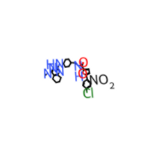 CN(C)c1nc(NC2CCC(CNC(=O)c3ccc(-c4ccc(Cl)cc4[N+](=O)[O-])o3)CC2)nc2c1CCCC2